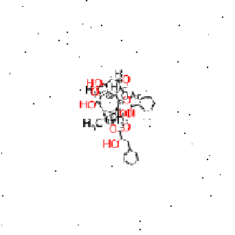 CC(=O)O[C@@]12CO[C@@H]1C[C@H](O)[C@@]1(C)C(=O)[C@H](O)C3=C(C)[C@@H](OC(=O)C(O)Cc4ccccc4)C[C@@](O)([C@@H](OC(=O)c4ccccc4)[C@H]21)C3(C)C